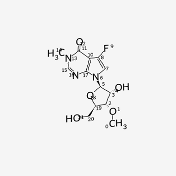 CO[C@H]1[C@@H](O)[C@H](n2cc(F)c3c(=O)n(C)cnc32)O[C@@H]1CO